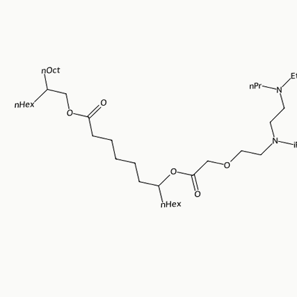 CCCCCCCCC(CCCCCC)COC(=O)CCCCCC(CCCCCC)OC(=O)COCCN(CCN(CC)CCC)C(C)C